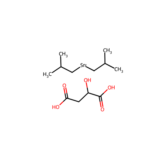 CC(C)[CH2][Sn][CH2]C(C)C.O=C(O)CC(O)C(=O)O